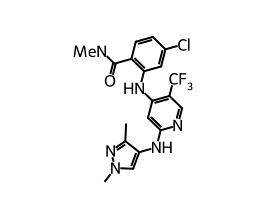 CNC(=O)c1ccc(Cl)cc1Nc1cc(Nc2cn(C)nc2C)ncc1C(F)(F)F